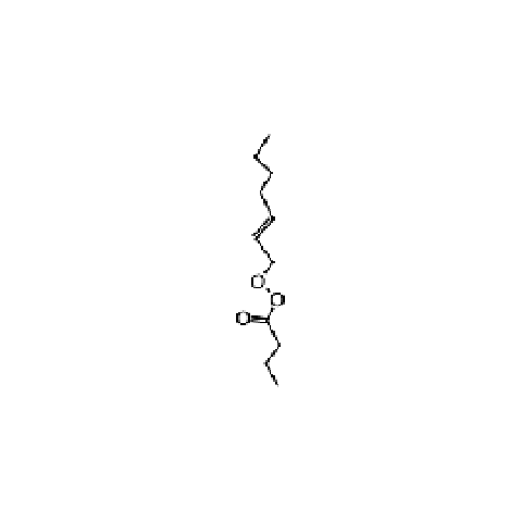 CCCC/C=C/COOC(=O)CCC